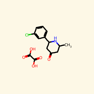 CC1CC(=O)CC(c2cccc(Cl)c2)N1.O=C(O)C(=O)O